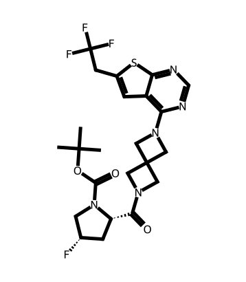 CC(C)(C)OC(=O)N1C[C@@H](F)C[C@H]1C(=O)N1CC2(C1)CN(c1ncnc3sc(CC(F)(F)F)cc13)C2